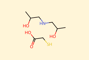 CC(O)CNCC(C)O.O=C(O)CS